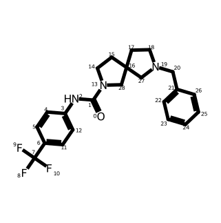 O=C(Nc1ccc(C(F)(F)F)cc1)N1CCC2(CCN(Cc3ccccc3)C2)C1